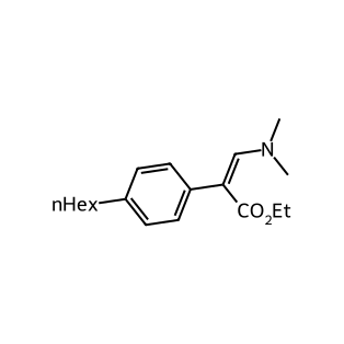 CCCCCCc1ccc(C(=CN(C)C)C(=O)OCC)cc1